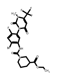 CCOC(=O)C1CCCN(C(=O)Nc2cc(-n3c(=O)cc(C(F)(F)F)n(C)c3=O)c(F)cc2Br)C1